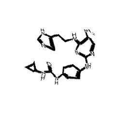 Bc1cnc(Nc2ccc(NC(=O)NC3CC3)cc2)nc1NCCc1cnc[nH]1